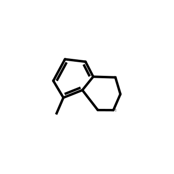 Cc1cccc2c1C[C]CC2